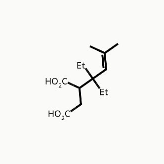 CCC(C=C(C)C)(CC)C(CC(=O)O)C(=O)O